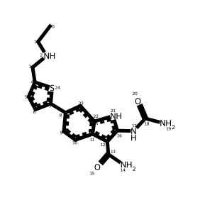 CCNCc1ccc(-c2ccc3c(C(N)=O)c(NC(N)=O)[nH]c3c2)s1